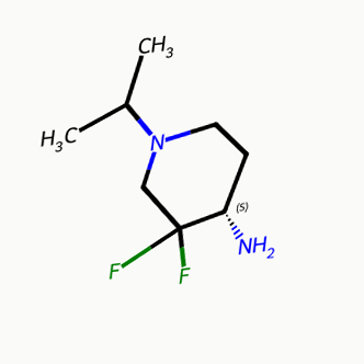 CC(C)N1CC[C@H](N)C(F)(F)C1